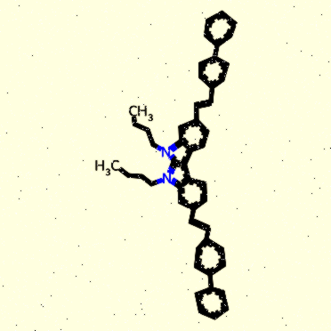 CCCCn1c2cc(/C=C/c3ccc(-c4ccccc4)cc3)ccc2c2c3ccc(/C=C/c4ccc(-c5ccccc5)cc4)cc3n(CCCC)c21